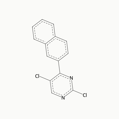 Clc1ncc(Cl)c(-c2ccc3ccccc3c2)n1